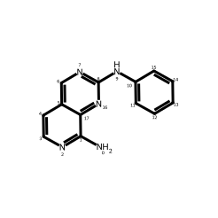 Nc1nccc2cnc(Nc3ccccc3)nc12